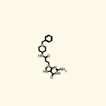 Nc1nc2c(c(=O)[nH]1)NCN2CCC(=O)NC1CCN(Cc2ccccc2)CC1